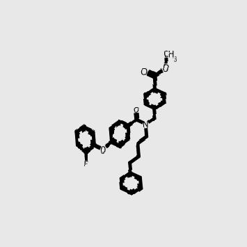 COC(=O)c1ccc(CN(CCCCc2ccccc2)C(=O)c2ccc(Oc3ccccc3F)cc2)cc1